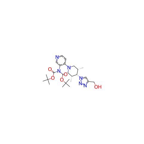 C[C@@H]1CN(c2ccncc2N(C(=O)OC(C)(C)C)C(=O)OC(C)(C)C)C[C@H](C)[C@@H]1n1cc(CO)nn1